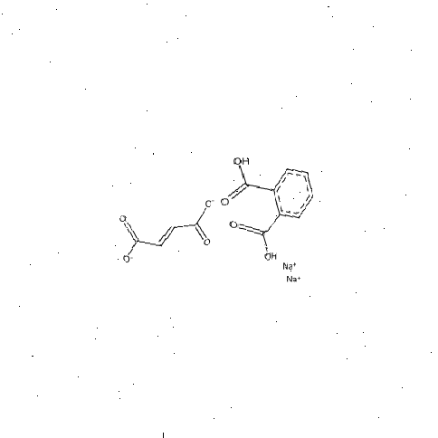 O=C(O)c1ccccc1C(=O)O.O=C([O-])C=CC(=O)[O-].[Na+].[Na+]